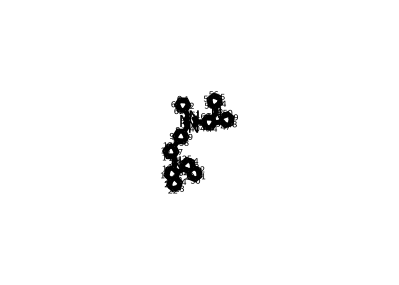 c1ccc(-c2nc(-c3ccc(-c4cccc(-n5c6ccc7ccccc7c6c6c7ccccc7ccc65)c4)cc3)nc(-c3ccc4c5ccccc5n(-c5ccccc5)c4c3)n2)cc1